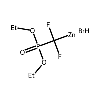 Br.CCOP(=O)(OCC)[C](F)(F)[Zn]